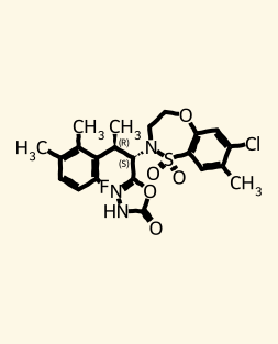 Cc1cc2c(cc1Cl)OCCN([C@H](c1n[nH]c(=O)o1)[C@H](C)c1c(F)ccc(C)c1C)S2(=O)=O